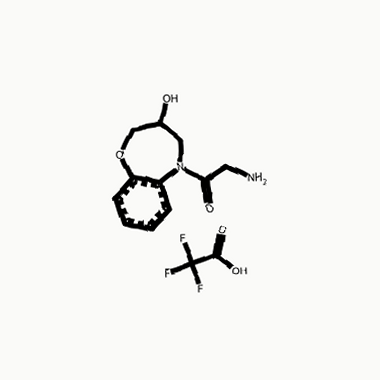 NCC(=O)N1CC(O)COc2ccccc21.O=C(O)C(F)(F)F